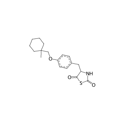 CC1(COc2ccc(CC3NC(=O)SC3=O)cc2)CCCCC1